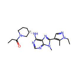 CCC(=O)N1CCC[C@H](Nc2ncnc3c2nc(-c2cnn(CC)c2C)n3C)C1